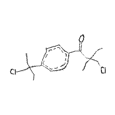 CC(C)(Cl)C(=O)c1ccc(C(C)(C)Cl)cc1